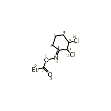 CCC(=O)ON=C1CCCC(Cl)C1Cl